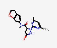 Cc1cc(C(F)(F)F)nc(N2NC(=O)CC2C(=O)N(C)c2ccc3c(c2)OCC3)n1